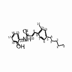 CCCCCc1ccc(C=CC(=O)Nc2ccccc2O)c(C)c1